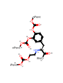 CCCCCOC(=O)Oc1ccc(C[C@H](NCCOC(=O)OC(C)CCC)C(=O)OC)cc1OC(=O)OCCCCC